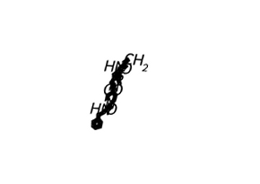 C=CC(=O)Nc1cc2c(s1)CN(S(=O)(=O)C1CCN(C(=O)NCCc3ccccc3)CC1)C2